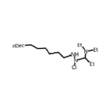 CCCCCCCCCCCCCCCCNN(Cl)C(CC)N(CC)CC